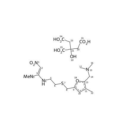 CNC(=C[N+](=O)[O-])NCCSCc1cc(C)c(CN(C)C)o1.O=C(O)CC(O)(CC(=O)O)C(=O)O